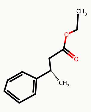 CCOC(=O)C[C@H](C)c1ccccc1